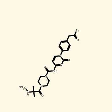 CCC(=O)Cc1ccc(-n2ccc(NC(=O)N3CCN(C(=O)C(C)(C)NC(=O)O)CC3)nc2=O)cc1